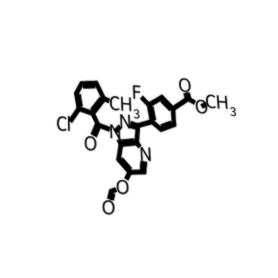 COC(=O)c1ccc(-c2nn(C(=O)c3c(C)cccc3Cl)c3cc(OC=O)cnc23)c(F)c1